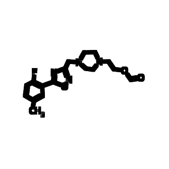 Cc1ccc(F)c(-c2nc(CN3CCN(CCOC=O)CC3)no2)c1